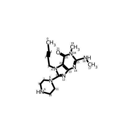 CC#CCn1c(N2CCNCC2)nc2nc(NC)n(C)c(=O)c21